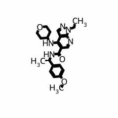 CCn1ncc2c(NC3CCOCC3)c(C(=O)N[C@H](C)c3ccc(OC)cc3)cnc21